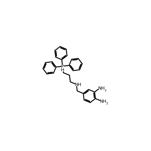 Nc1ccc(CNCCC[PH](c2ccccc2)(c2ccccc2)c2ccccc2)cc1N